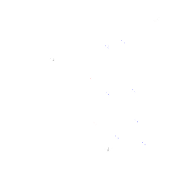 CCCn1c(=O)c2c(nc(-c3cnn(CCBr)c3)n2COCC[Si](C)(C)C)n2ccnc12